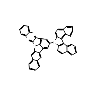 c1ccc2cc3c(cc2c1)c1cc(-n2c4ccc5ccccc5c4c4c5ccccc5ccc42)cc2c4nc5ccccc5nc4n3c12